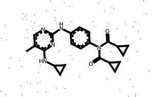 Cc1cnc(Nc2ccc(N(C(=O)C3CC3)C(=O)C3CC3)cc2)nc1NC1CC1